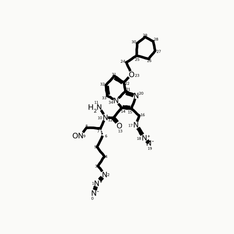 [N-]=[N+]=NCCCC[C@H](CN=O)N(N)C(=O)c1c(CN=[N+]=[N-])nc2c(OCC3CCCCC3)cccn12